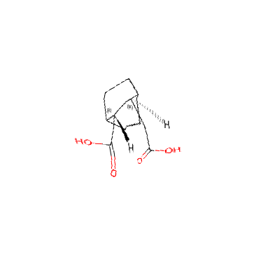 O=C(O)[C@@H]1C2CCC(CC2)[C@H]1C(=O)O